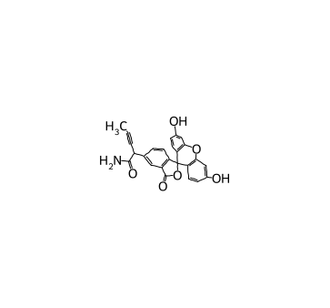 CC#CC(C(N)=O)c1ccc2c(c1)C(=O)OC21c2ccc(O)cc2Oc2cc(O)ccc21